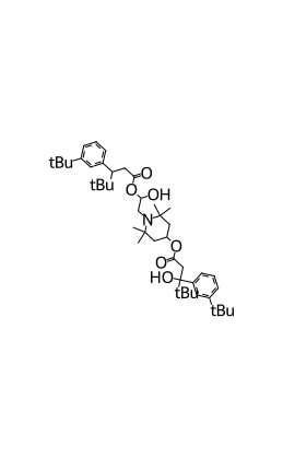 CC(C)(C)c1cccc(C(CC(=O)OC(O)CN2C(C)(C)CC(OC(=O)CC(O)(c3cccc(C(C)(C)C)c3)C(C)(C)C)CC2(C)C)C(C)(C)C)c1